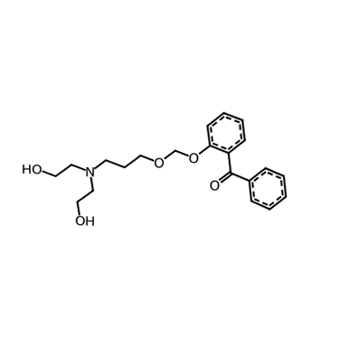 O=C(c1ccccc1)c1ccccc1OCOCCCN(CCO)CCO